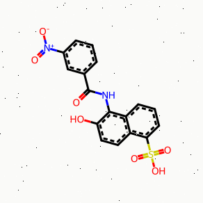 O=C(Nc1c(O)ccc2c(S(=O)(=O)O)cccc12)c1cccc([N+](=O)[O-])c1